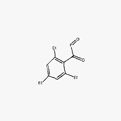 CCc1cc(CC)c(C(=O)P=O)c(CC)c1